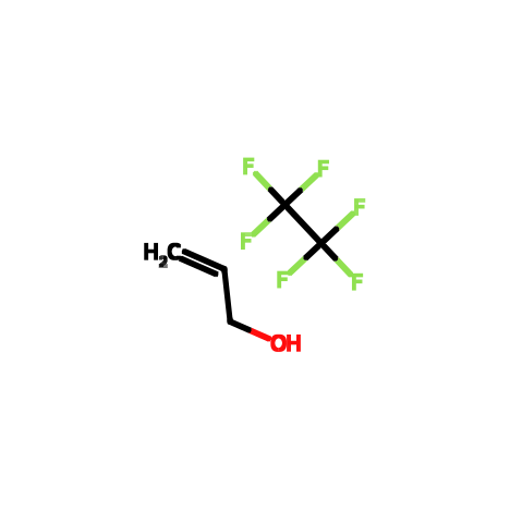 C=CCO.FC(F)(F)C(F)(F)F